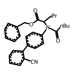 CCCCC(=O)N(c1ccc(-c2ccccc2C#N)cc1)C(C(=O)OCc1ccccc1)C(C)C